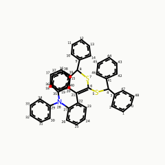 c1ccc(C(SC(SC(c2ccccc2)c2ccccc2)=C2c3ccccc3N(c3ccccc3)c3ccccc32)c2ccccc2)cc1